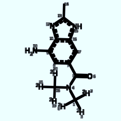 [2H]C([2H])([2H])N(C(=O)c1cc(N)c2nc(C)[nH]c2c1)C([2H])([2H])[2H]